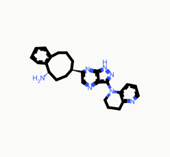 N[C@H]1CC[C@H](c2cnc3c(N4CCCc5ncccc54)n[nH]c3n2)CCCc2ccccc21